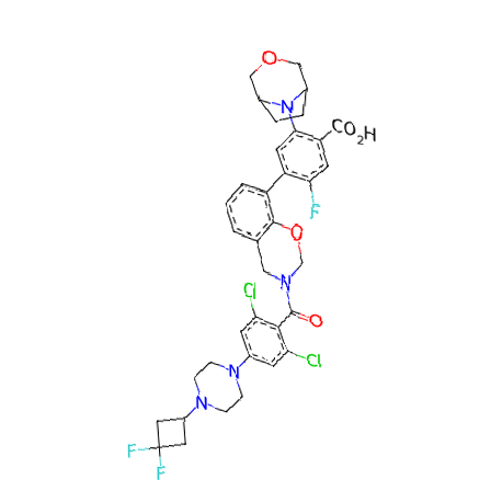 O=C(O)c1cc(F)c(-c2cccc3c2OCN(C(=O)c2c(Cl)cc(N4CCN(C5CC(F)(F)C5)CC4)cc2Cl)C3)cc1N1C2CCC1COC2